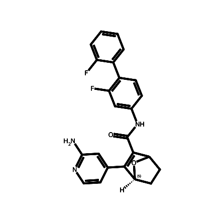 Nc1cc(C2=C(C(=O)Nc3ccc(-c4ccccc4F)c(F)c3)C3CC[C@@H]2O3)ccn1